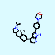 C=C(C)N1CCC(Cc2ccc(-c3ccnc4[nH]c(-c5ccc(N6CCOCC6)cc5)cc34)cc2C#N)C1